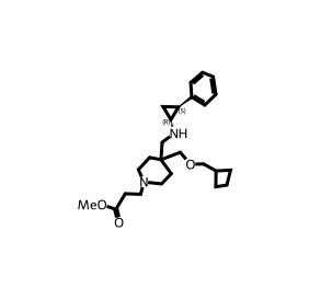 COC(=O)CCN1CCC(CN[C@@H]2C[C@H]2c2ccccc2)(COCC2CCC2)CC1